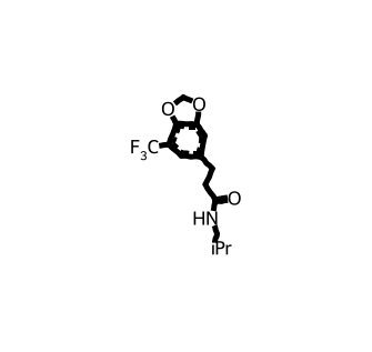 CC(C)CNC(=O)CCc1cc2c(c(C(F)(F)F)c1)OCO2